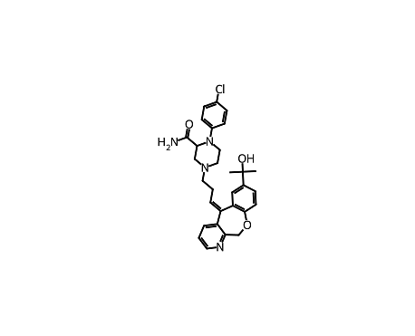 CC(C)(O)c1ccc2c(c1)/C(=C\CCN1CCN(c3ccc(Cl)cc3)C(C(N)=O)C1)c1cccnc1CO2